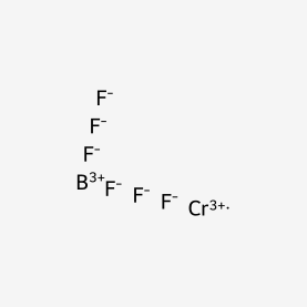 [B+3].[Cr+3].[F-].[F-].[F-].[F-].[F-].[F-]